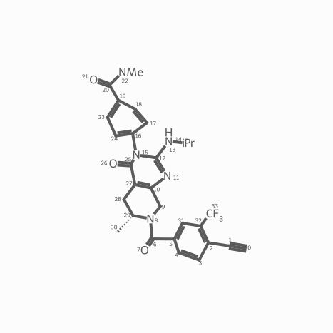 C#Cc1ccc(C(=O)N2Cc3nc(NC(C)C)n(-c4ccc(C(=O)NC)cc4)c(=O)c3C[C@H]2C)cc1C(F)(F)F